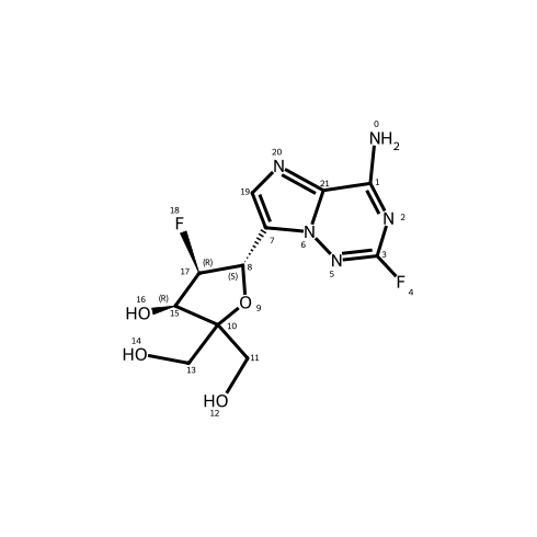 Nc1nc(F)nn2c([C@@H]3OC(CO)(CO)[C@@H](O)[C@H]3F)cnc12